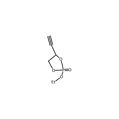 C#CC1COP(=O)(OCC)O1